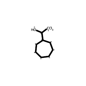 OC(C1CCCCCC1)C(Cl)(Cl)Cl